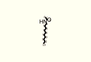 [CH2]C(=O)NCCCCCCCCCC